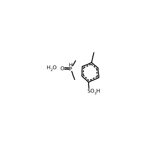 C[PH](C)=O.Cc1ccc(S(=O)(=O)O)cc1.O